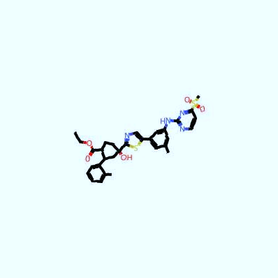 CCOC(=O)C1CCC(O)(c2ncc(-c3cc(C)cc(Nc4nccc(S(C)(=O)=O)n4)c3)s2)CC1c1ccccc1C